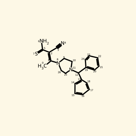 C/C(=C(/C#N)C(N)=S)N1CCN(C(c2ccccc2)c2ccccc2)CC1